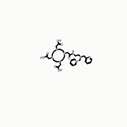 O=C(O)CN1CCN(CC(=O)O)CCN(CC(=O)NCCN(Cc2ccccn2)C[n+]2ccccc2)CCN(CC(=O)O)CC1